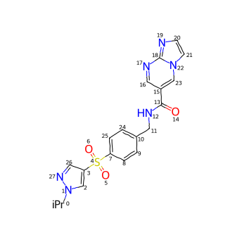 CC(C)n1cc(S(=O)(=O)c2ccc(CNC(=O)c3cnc4nccn4c3)cc2)cn1